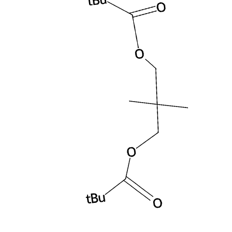 CC(C)(COC(=O)C(C)(C)C)COC(=O)C(C)(C)C